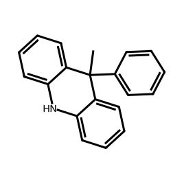 CC1(c2ccccc2)c2ccccc2Nc2ccccc21